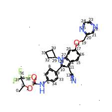 CC(OC(=O)Nc1ccc(-c2c(C#N)c3ccc(OCc4cnccn4)cc3n2C2CCC2)cc1)C(F)(F)F